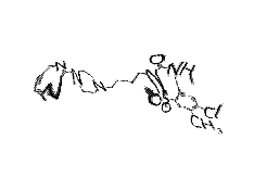 Cc1cc2c(cc1Cl)NC(=O)N(CCCCN1CCN(c3ncccn3)CC1)S2(=O)=O